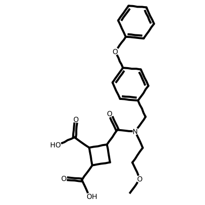 COCCN(Cc1ccc(Oc2ccccc2)cc1)C(=O)C1CC(C(=O)O)C1C(=O)O